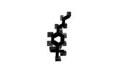 CCC[CH]c1ccc(C(C)(C)C)cc1